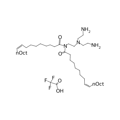 CCCCCCCC/C=C\CCCCCCCC(=O)N(CCN(CCN)CCN)C(=O)CCCCCCC/C=C\CCCCCCCC.O=C(O)C(F)(F)F